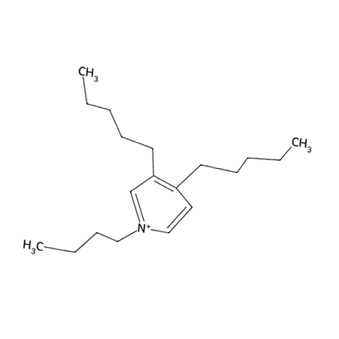 CCCCCc1cc[n+](CCCC)cc1CCCCC